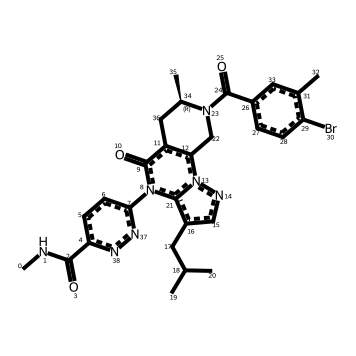 CNC(=O)c1ccc(-n2c(=O)c3c(n4ncc(CC(C)C)c24)CN(C(=O)c2ccc(Br)c(C)c2)[C@H](C)C3)nn1